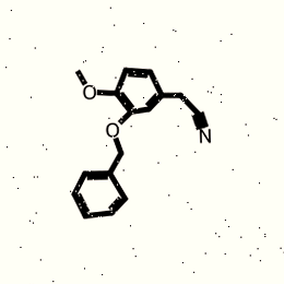 COc1ccc(CC#N)cc1OCc1ccccc1